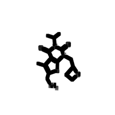 Cc1c(CN)sc2c1c(=O)n(C(C)C)c(=O)n2CC1CCO1